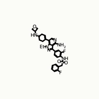 CCn1nc(-c2ccc(NS(=O)(=O)Cc3ccccc3F)c(F)c2)c2c(N)ncc(C3=CC[C@H](NC4COC4)CC3)c21